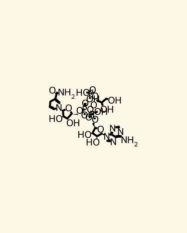 NC(=O)C1=CN([C@@H]2O[C@H](COP(=O)(O)OP(=O)(O)OC[C@H]3O[C@@H](n4cnc5c(N)ncnc54)[C@H](O)[C@@H]3O)[C@@H](O)[C@H]2O)C=CC1.O=C(OP(=O)(O)O)C(O)CO